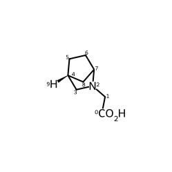 O=C(O)CN1C[C@@H]2CCC1C2